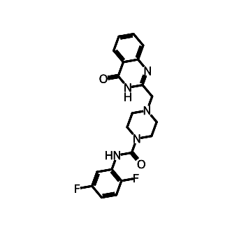 O=C(Nc1cc(F)ccc1F)N1CCN(Cc2nc3ccccc3c(=O)[nH]2)CC1